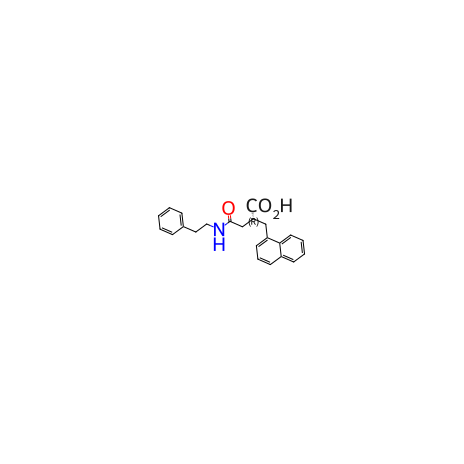 O=C(C[C@@H](Cc1cccc2ccccc12)C(=O)O)NCCc1ccccc1